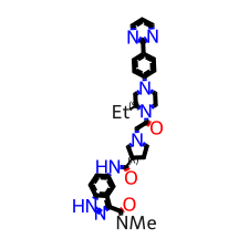 CC[C@H]1CN(c2ccc(-c3ncccn3)cc2)CCN1C(=O)CN1CC[C@@H](C(=O)Nc2ccc3[nH]nc(C(=O)NC)c3c2)C1